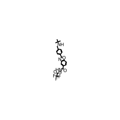 CC(C)(C)NCc1ccc(-c2nc3cc(C(=O)NOC(=O)C(F)(F)F)ccc3o2)cc1